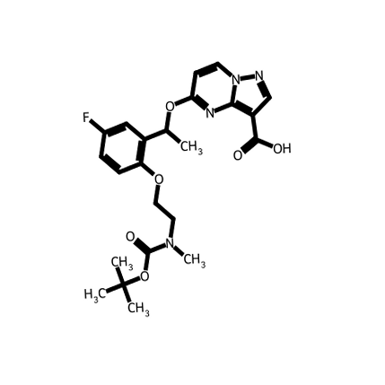 CC(Oc1ccn2ncc(C(=O)O)c2n1)c1cc(F)ccc1OCCN(C)C(=O)OC(C)(C)C